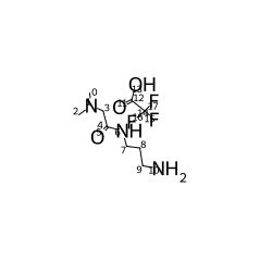 CN(C)CC(=O)NCCCN.O=C(O)C(F)(F)F